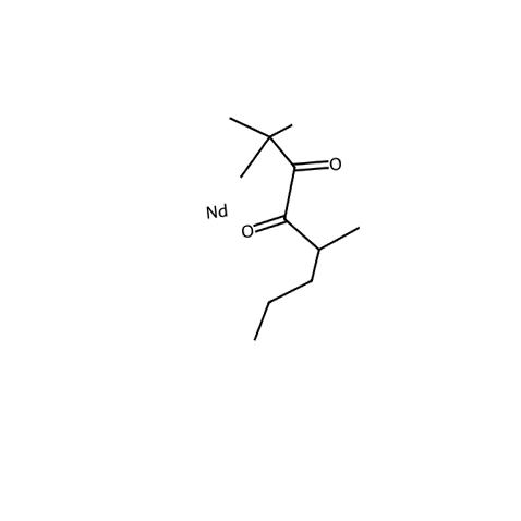 CCCC(C)C(=O)C(=O)C(C)(C)C.[Nd]